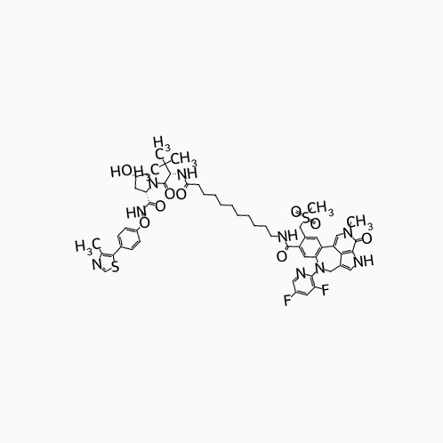 Cc1ncsc1-c1ccc(ONC(=O)[C@@H]2C[C@H](O)CN2C(=O)[C@@H](NC(=O)CCCCCCCCCCNC(=O)c2cc3c(cc2CS(C)(=O)=O)-c2cn(C)c(=O)c4[nH]cc(c24)CN3c2ncc(F)cc2F)C(C)(C)C)cc1